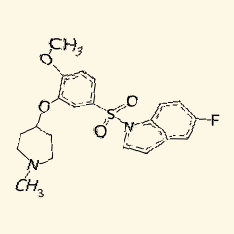 COc1ccc(S(=O)(=O)n2ccc3cc(F)ccc32)cc1OC1CCN(C)CC1